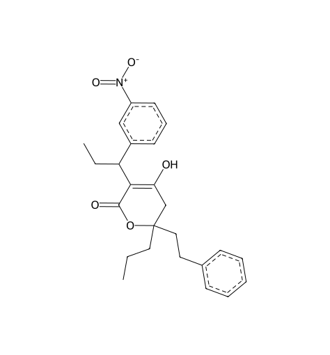 CCCC1(CCc2ccccc2)CC(O)=C(C(CC)c2cccc([N+](=O)[O-])c2)C(=O)O1